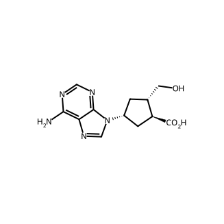 Nc1ncnc2c1ncn2[C@@H]1C[C@H](CO)[C@@H](C(=O)O)C1